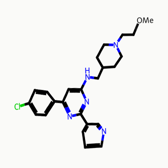 COCCN1CCC(CNc2cc(-c3ccc(Cl)cc3)nc(-c3cccnc3)n2)CC1